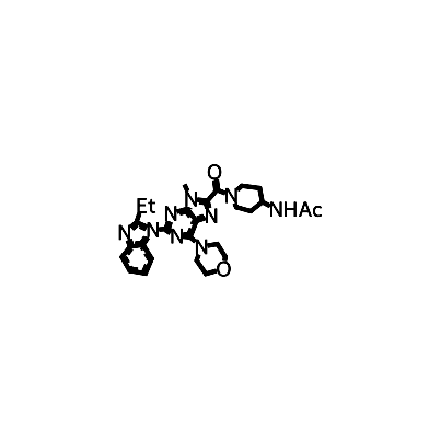 CCc1nc2ccccc2n1-c1nc(N2CCOCC2)c2nc(C(=O)N3CCC(NC(C)=O)CC3)n(C)c2n1